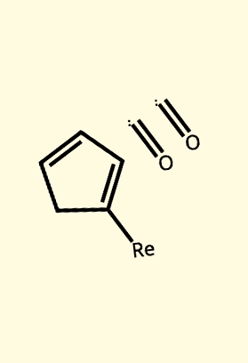 [C]=O.[C]=O.[Re][C]1=CC=CC1